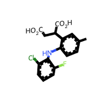 Cc1ccc(Nc2c(F)cccc2Cl)c(C(CC(=O)O)C(=O)O)c1